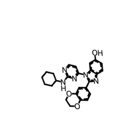 Oc1ccc2nc(-c3ccc4c(c3)OCCO4)n(-c3ccnc(NC4CCCCC4)n3)c2c1